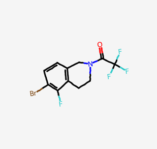 O=C(N1CCc2c(ccc(Br)c2F)C1)C(F)(F)F